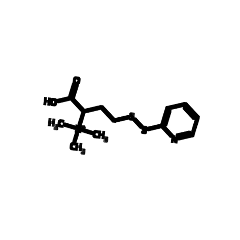 C[N+](C)(C)C(CCSSc1ccccn1)C(=O)O